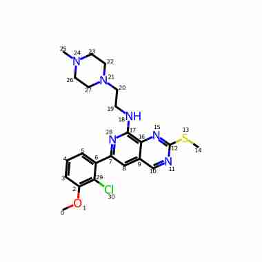 COc1cccc(-c2cc3cnc(SC)nc3c(NCCN3CCN(C)CC3)n2)c1Cl